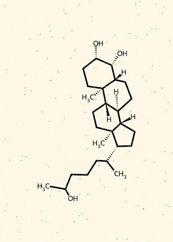 CC(O)CCCC(C)[C@H]1CC[C@H]2[C@@H]3CC[C@H]4[C@@H](O)[C@@H](O)CC[C@]4(C)[C@H]3CC[C@]12C